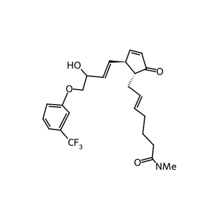 CNC(=O)CCCC=CC[C@H]1C(=O)C=C[C@@H]1C=CC(O)COc1cccc(C(F)(F)F)c1